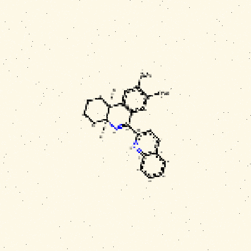 COc1cc2c(cc1OC)[C@@H]1CCCC[C@@H]1N=C2c1ccc2ccccc2n1